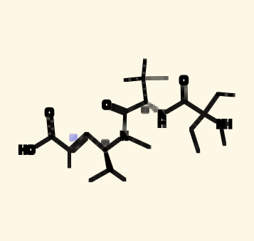 CCC(CC)(NC)C(=O)N[C@H](C(=O)N(C)[C@H](/C=C(\C)C(=O)O)C(C)C)C(C)(C)C